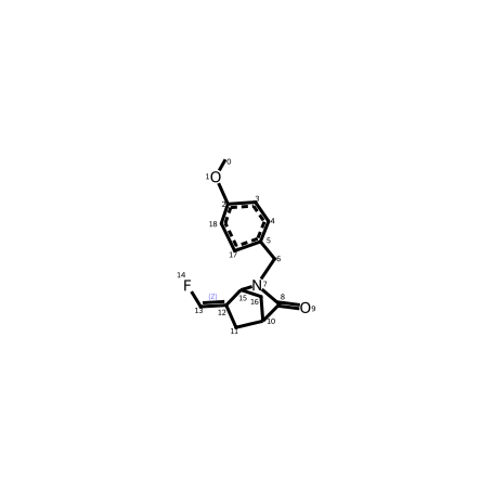 COc1ccc(CN2C(=O)C3C/C(=C/F)C2C3)cc1